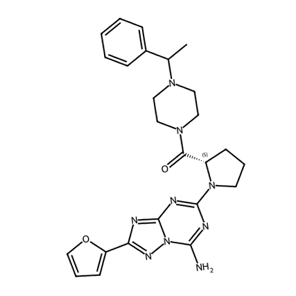 CC(c1ccccc1)N1CCN(C(=O)[C@@H]2CCCN2c2nc(N)n3nc(-c4ccco4)nc3n2)CC1